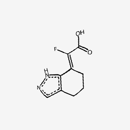 O=C(O)/C(F)=C1\CCCc2cn[nH]c21